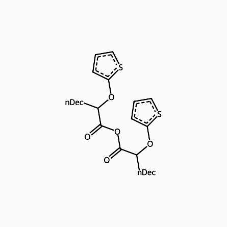 CCCCCCCCCCC(Oc1cccs1)C(=O)OC(=O)C(CCCCCCCCCC)Oc1cccs1